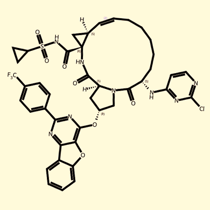 O=C1N[C@]2(C(=O)NS(=O)(=O)C3CC3)C[C@H]2/C=C\CCCCC[C@H](Nc2ccnc(Cl)n2)C(=O)N2C[C@H](Oc3nc(-c4ccc(C(F)(F)F)cc4)nc4c3oc3ccccc34)C[C@@H]12